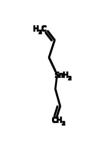 C=C[CH2][SnH2][CH2]C=C